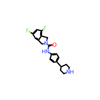 O=C(Nc1ccc(C2CCNCC2)cc1)N1Cc2cc(F)cc(F)c2C1